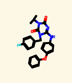 CC(C)n1c(=O)nc(Nc2ccc(Oc3ccccc3)cc2)n(Cc2ccc(F)cc2)c1=O